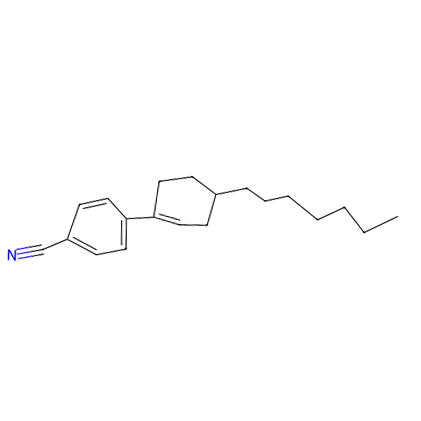 CCCCCCCC1CC=C(c2ccc(C#N)cc2)CC1